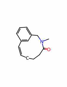 CN1Cc2cccc(c2)/C=C\CCCC1=O